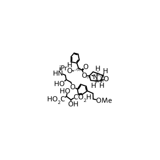 CN1[C@@H]2C[C@@H](OC(=O)[C@H](CO)c3ccccc3)C[C@H]1[C@@H]1O[C@@H]12.COCCc1ccc(OCC(O)CNC(C)C)cc1.O=C(O)C(O)C(O)C(=O)O